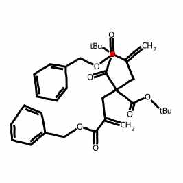 C=C(CC(CC(=C)C(=O)OCc1ccccc1)(C(=O)OC(C)(C)C)C(=O)OC(C)(C)C)C(=O)OCc1ccccc1